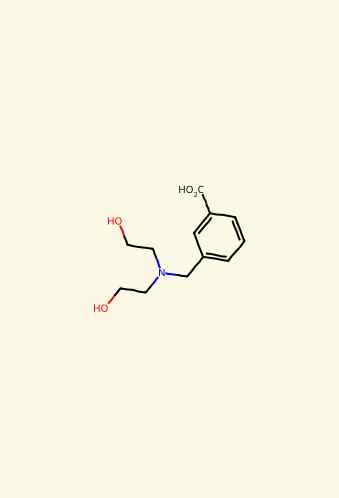 O=C(O)c1cccc(CN(CCO)CCO)c1